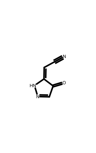 N#CC=C1NN=CC1=O